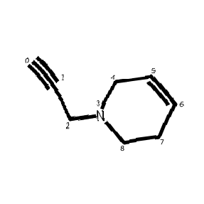 [C]#CCN1CC=CCC1